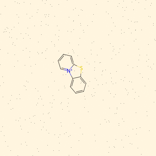 c1ccc2c(c1)sc1cccc[n+]12